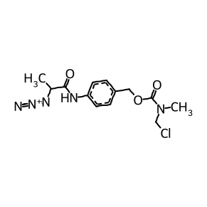 CC(N=[N+]=[N-])C(=O)Nc1ccc(COC(=O)N(C)CCl)cc1